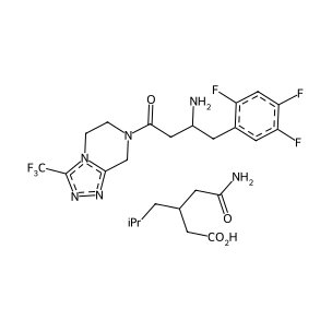 CC(C)CC(CC(N)=O)CC(=O)O.NC(CC(=O)N1CCn2c(nnc2C(F)(F)F)C1)Cc1cc(F)c(F)cc1F